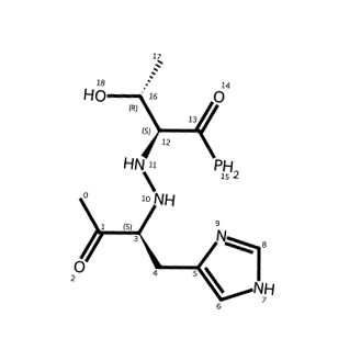 CC(=O)[C@H](Cc1c[nH]cn1)NN[C@H](C(=O)P)[C@@H](C)O